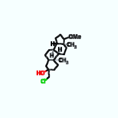 COC1CC[C@H]2[C@@H]3CCC4CC(O)(CCl)CC[C@]4(C)[C@@H]3CC[C@]12C